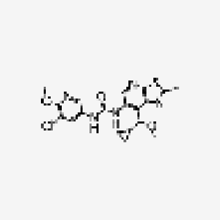 COc1ncc(NC(=O)Nc2cnc3sc(C)nc3c2C(OC)C2CC2)cc1Cl